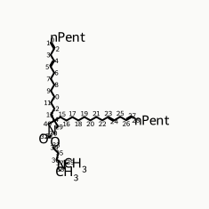 CCCCCC=CCC=CCCCCCCCCC1(CCCCCCCCC=CCC=CCCCCC)CN(C(=O)OCCCN(C)C)C1